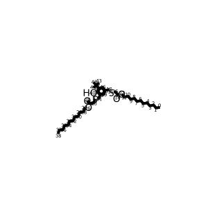 CCCCCCCCCCCCOC(=O)CSCc1cc(CSCC(=O)OCCCCCCCCCCCC)c(O)c(C(C)(C)C)c1